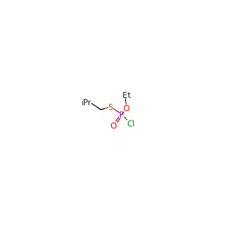 CCOP(=O)(Cl)SCC(C)C